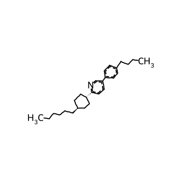 CCCCCC[C@H]1CC[C@H](c2ccc(-c3ccc(CCCC)cc3)cn2)CC1